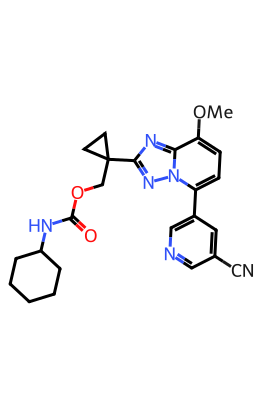 COc1ccc(-c2cncc(C#N)c2)n2nc(C3(COC(=O)NC4CCCCC4)CC3)nc12